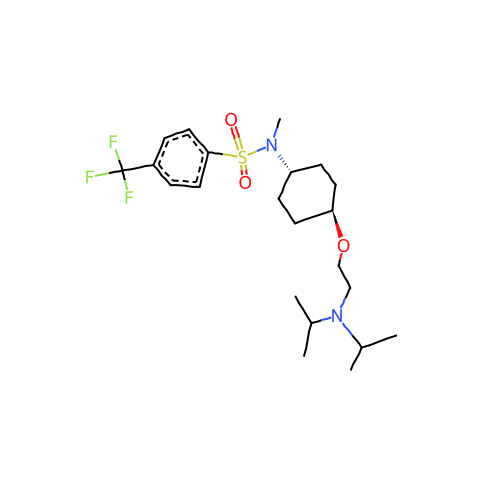 CC(C)N(CCO[C@H]1CC[C@H](N(C)S(=O)(=O)c2ccc(C(F)(F)F)cc2)CC1)C(C)C